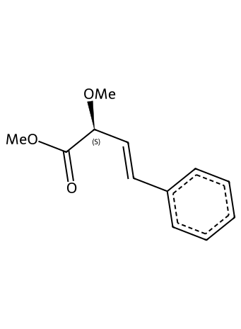 COC(=O)[C@H](C=Cc1ccccc1)OC